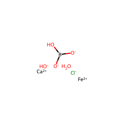 O.[Ca+2].[Cl-].[Fe+2].[O-]B([O-])O.[OH-]